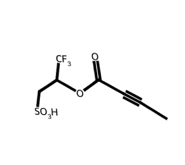 CC#CC(=O)OC(CS(=O)(=O)O)C(F)(F)F